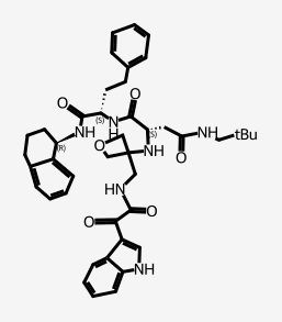 CC(C)(C)CNC(=O)C[C@H](NC1(CNC(=O)C(=O)c2c[nH]c3ccccc23)COC1)C(=O)N[C@@H](CCc1ccccc1)C(=O)N[C@@H]1CCCc2ccccc21